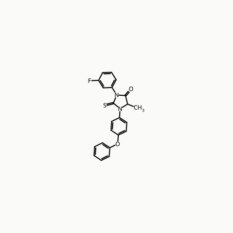 CC1C(=O)N(c2cccc(F)c2)C(=S)N1c1ccc(Oc2ccccc2)cc1